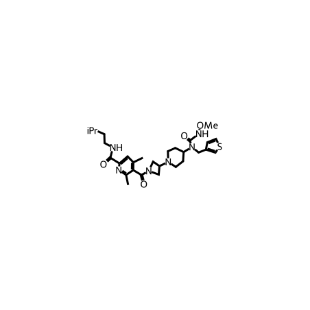 CONC(=O)N(Cc1ccsc1)C1CCN(C2CN(C(=O)c3c(C)cc(C(=O)NCCC(C)C)nc3C)C2)CC1